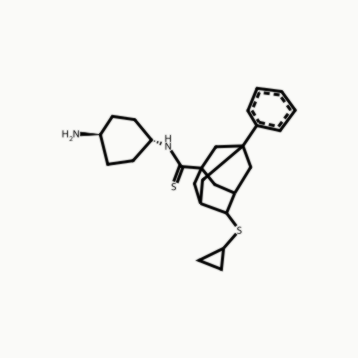 N[C@H]1CC[C@H](NC(=S)C23CC4CC(c5ccccc5)(CC(C2)C4SC2CC2)C3)CC1